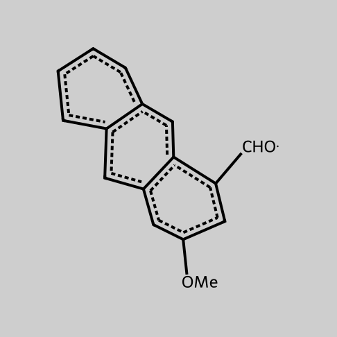 COc1cc([C]=O)c2cc3ccccc3cc2c1